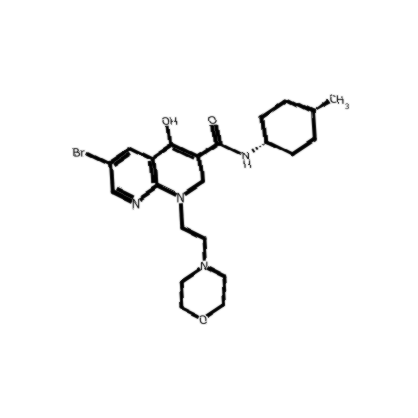 C[C@H]1CC[C@H](NC(=O)C2=C(O)c3cc(Br)cnc3N(CCN3CCOCC3)C2)CC1